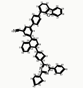 N#Cc1cc(-c2ccc(C3=CCCc4c3oc3ccccc43)cc2)cc(-c2ccc(-c3ccc(-c4nc(-c5ccccc5)nc(-c5ccccc5)n4)cc3)c3ccccc23)c1